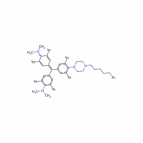 [2H]C1=CC(=C(c2cc([2H])c(N(C)C)c([2H])c2)c2cc([2H])c(N3CCN(CCCCCC(C)=O)CC3)c([2H])c2)C=C([2H])C1=[N+](C)C